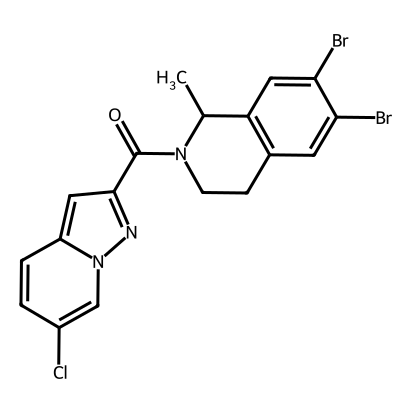 CC1c2cc(Br)c(Br)cc2CCN1C(=O)c1cc2ccc(Cl)cn2n1